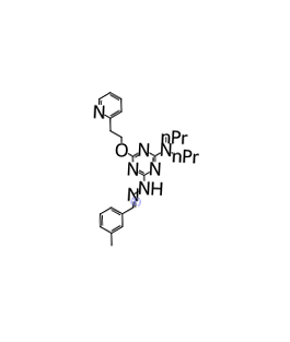 CCCN(CCC)c1nc(N/N=C/c2cccc(C)c2)nc(OCCc2ccccn2)n1